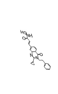 O=C(C=Cc1ccc2c(=O)n(CCc3ccccc3)c(C3CC3)nc2c1)NO